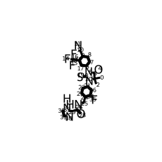 CC1(C)C(=O)N(c2ccc(C#N)c(C(F)(F)F)c2)C(=S)N1c1ccc(CNC(=O)c2ncc[nH]2)c(F)c1